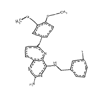 COc1ccc(-c2ccc3nc(N)nc(NCc4cccc(F)c4)c3n2)cc1OC